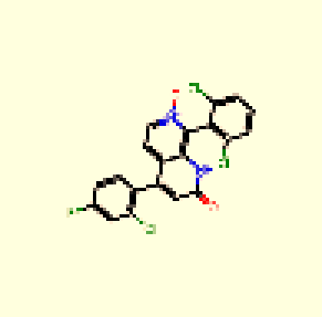 O=c1cc(-c2ccc(F)cc2Cl)c2cc[n+]([O-])c(-c3c(Cl)cccc3Cl)c2[nH]1